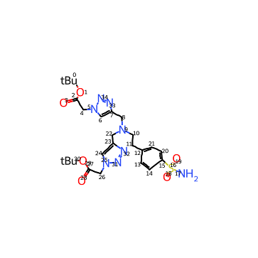 CC(C)(C)OC(=O)Cn1cc(CN(CCc2ccc(S(N)(=O)=O)cc2)Cc2cn(CC(=O)OC(C)(C)C)nn2)nn1